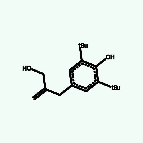 C=C(CO)Cc1cc(C(C)(C)C)c(O)c(C(C)(C)C)c1